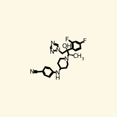 C[C@@H](N1CCC(Nc2ccc(C#N)cc2)CC1)[C@](O)(Cn1cncn1)c1ccc(F)cc1F